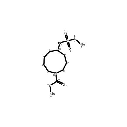 CC(C)(C)NS(=O)(=O)N[C@@H]1CCCCN(C(=O)OC(C)(C)C)CCC1